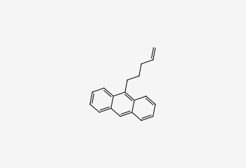 C=CCCCc1c2ccccc2cc2ccccc12